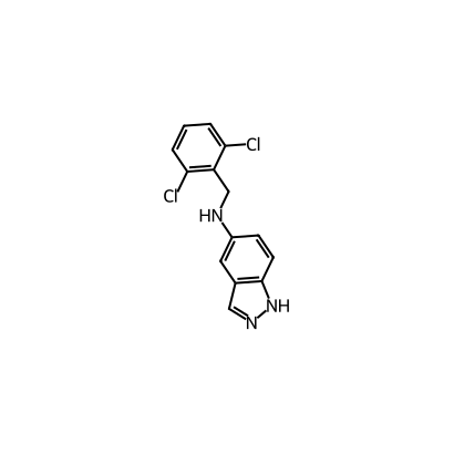 Clc1cccc(Cl)c1CNc1ccc2[nH]ncc2c1